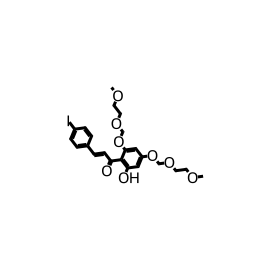 COCCOCOc1cc(O)c(C(=O)/C=C/c2ccc(I)cc2)c(OCOCCOC)c1